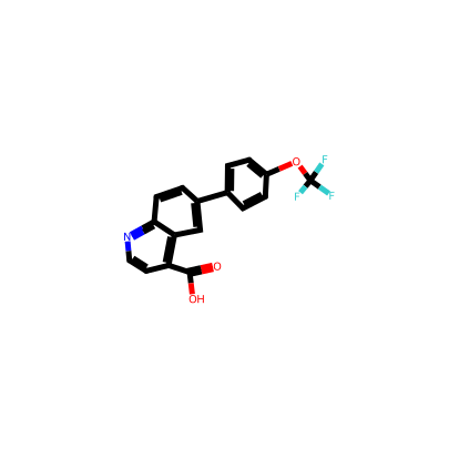 O=C(O)c1ccnc2ccc(-c3ccc(OC(F)(F)F)cc3)cc12